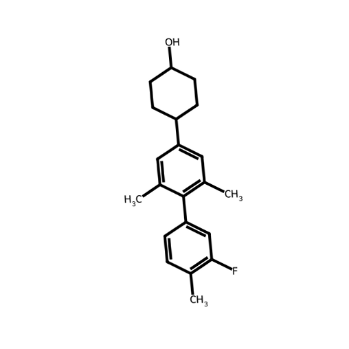 Cc1ccc(-c2c(C)cc(C3CCC(O)CC3)cc2C)cc1F